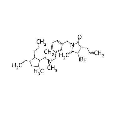 C=CCC1C(=O)N(Cc2cccc(CN(C)C(=C)C3C(C)CC(C=C)C3CC=C)c2)C(=C)C1C(C)CC